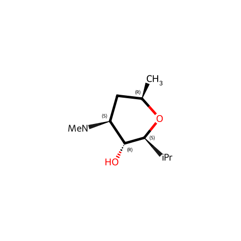 CN[C@H]1C[C@@H](C)O[C@@H](C(C)C)[C@@H]1O